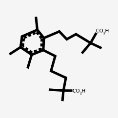 Cc1cc(C)c(CCCC(C)(C)C(=O)O)c(CCCC(C)(C)C(=O)O)c1C